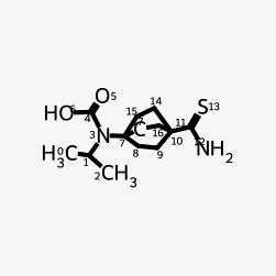 CC(C)N(C(=O)O)C12CCC(C(N)=S)(CC1)CC2